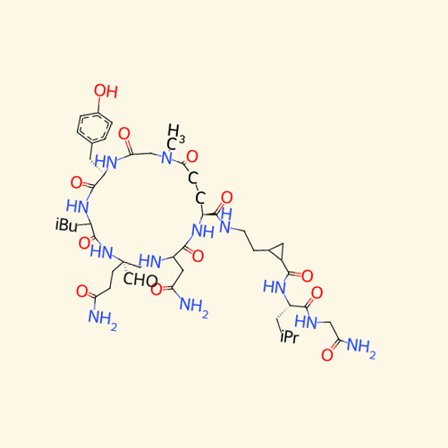 CCC(C)C1NC(=O)[C@H](Cc2ccc(O)cc2)NC(=O)CN(C)C(=O)CC[C@@H](C(=O)NCCC2CC2C(=O)N[C@@H](CC(C)C)C(=O)NCC(N)=O)NC(=O)C(CC(N)=O)NC[C@@](C=O)(CCC(N)=O)NC1=O